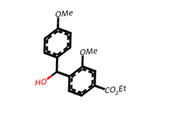 CCOC(=O)c1ccc(C(O)c2ccc(OC)cc2)c(OC)c1